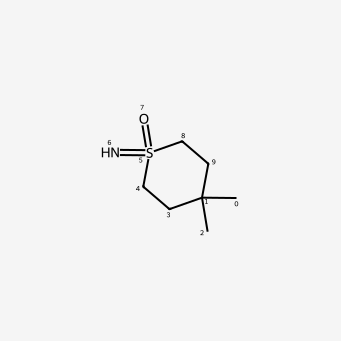 CC1(C)CCS(=N)(=O)CC1